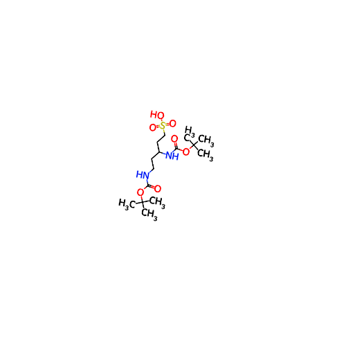 CC(C)(C)OC(=O)NCCC(CCS(=O)(=O)O)NC(=O)OC(C)(C)C